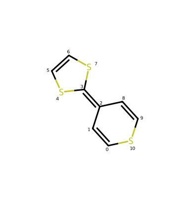 C1=CC(=C2SC=CS2)C=CS1